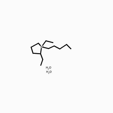 CCCCC[N+]1(CC)CCCC1CC.O.O